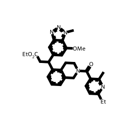 CCOC(=O)CC(c1cc(OC)c2c(c1)nnn2C)c1cccc2c1CCN(C(=O)c1ccc(CC)nc1C)C2